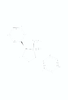 CNP1(=O)[C@H](c2ccccc2)C=C[C@H]1c1ccccc1